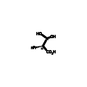 CCC[C@@H](C(=O)O)N(O)O